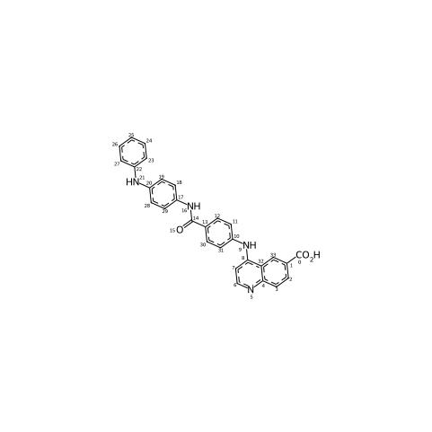 O=C(O)c1ccc2nccc(Nc3ccc(C(=O)Nc4ccc(Nc5ccccc5)cc4)cc3)c2c1